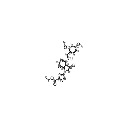 CCOC(=O)c1nnc(-n2cc(Cl)c3c(NCc4ccc(OC)cc4OC)ncnc32)s1